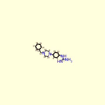 N=C(N)Nc1ccc(N2CCN(Cc3ccccc3)CC2)cc1